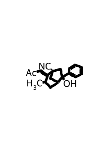 CC(=O)/C=C1\C(C)CC2C[C@@]1(C#N)CC2(O)c1ccccc1